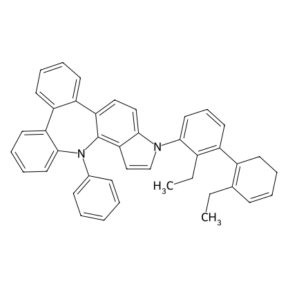 CCC1=C(c2cccc(-n3ccc4c5c(ccc43)-c3ccccc3-c3ccccc3N5c3ccccc3)c2CC)CCC=C1